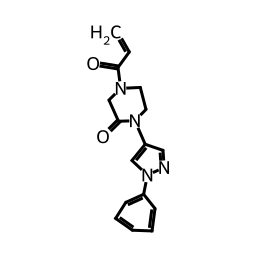 C=CC(=O)N1CCN(c2cnn(-c3ccccc3)c2)C(=O)C1